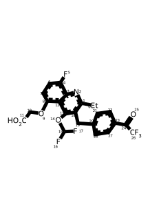 CCc1nc2c(F)ccc(OCC(=O)O)c2c(OC(F)F)c1Cc1ccc(C(=O)C(F)(F)F)cc1